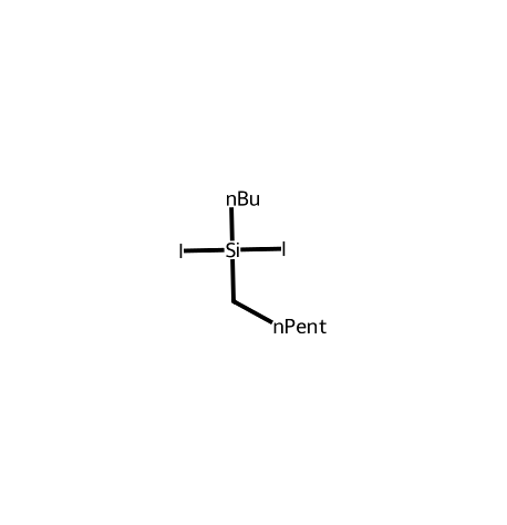 CCCCCC[Si](I)(I)CCCC